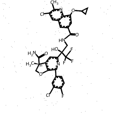 Cc1nc2c(OC3CC3)cc(C(=O)NCC(O)(c3cc4c(c(-c5ccc(F)c(Cl)c5)n3)OC[C@]4(C)C(N)=O)C(F)(F)F)cc2cc1Cl